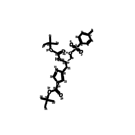 Cc1ccc(S(=O)(=O)OC[C@H](Cc2cn(C(=O)OC(C)(C)C)cn2)NC(=O)OC(C)(C)C)cc1